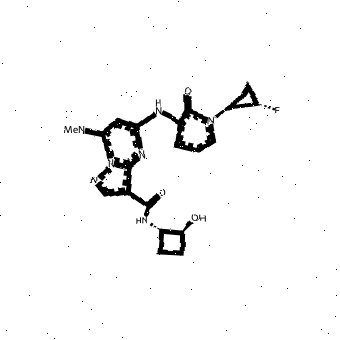 CNc1cc(Nc2cccn([C@H]3C[C@@H]3F)c2=O)nc2c(C(=O)N[C@H]3CC[C@@H]3O)cnn12